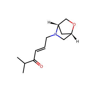 CC(C)C(=O)/C=C/CN1C[C@@H]2C[C@H]1CO2